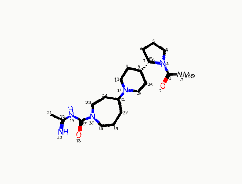 CNC(=O)N1CCC[C@H]1C1CCN(C2CCCN(C(=O)NC(C)=N)CC2)CC1